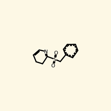 O=S(=O)(Cc1ccccc1)C1=NC=CCC1